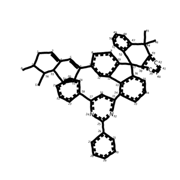 CC1CC=C2C=C(c3ccc4c(c3)-c3c(-c5cc(-c6ccccc6)nc(-c6ccccc6)n5)cccc3C43c4ccccc4C(C)(C)c4ccccc43)C=CC2C1C